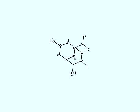 CC1O[Si]2(C(C)C)OC(O)CC(O2)C1O